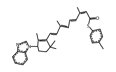 CC1=C(/C=C/C(C)=C/C=C/C(C)=C\C(=O)Sc2ccc(C)cc2)C(C)(C)CCC1n1cnc2ccccc21